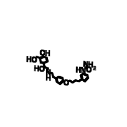 NC(=O)Nc1cccc(CCCCOc2ccc(CCNC[C@H](O)c3ccc(O)c(CO)c3)cc2)c1